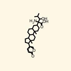 CC(C)C(O)C(N)(C(=O)O)C1CCC2(C)C(CCC3C2CCC2(C)C(c4ccc(=O)oc4)CCC32)C1